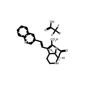 O=C(O)C(F)(F)F.O=C(O)C1=C(/C=C/c2cnc3ccccc3c2)C2CCN[C@@H]3C(=O)N1[C@H]23